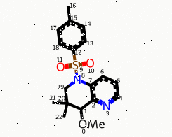 COC1c2ncccc2N(S(=O)(=O)c2ccc(C)cc2)CC1(C)C